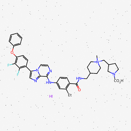 CCc1cc(Nc2nccn3c(-c4ccc(Oc5ccccc5)c(F)c4F)cnc23)ccc1C(=O)NCC1CC[N+](C)(CC2CCN(C(=O)O)C2)CC1.I